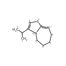 CC(C)C1=NSC2=NCCCCN21